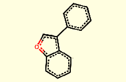 [c]1cccc2occ(-c3ccccc3)c12